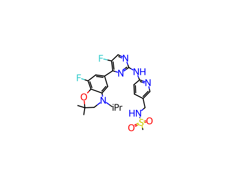 CC(C)N1CC(C)(C)Oc2c(F)cc(-c3nc(Nc4ccc(CNS(C)(=O)=O)cn4)ncc3F)cc21